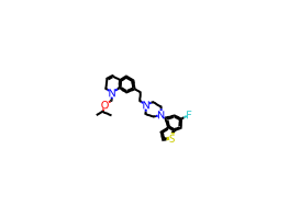 CC(C)OCN1CC=Cc2ccc(CCN3CCN(c4cc(F)cc5sccc45)CC3)cc21